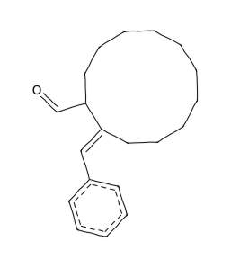 O=CC1CCCCCCCCCCC1=Cc1ccccc1